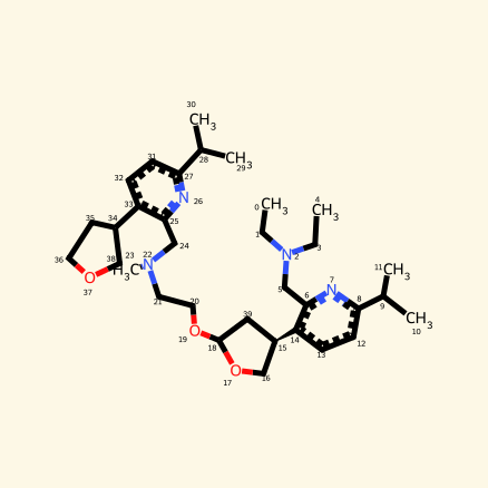 CCN(CC)Cc1nc(C(C)C)ccc1[C@H]1COC(OCCN(C)Cc2nc(C(C)C)ccc2C2CCOC2)C1